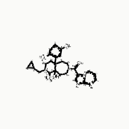 Cc1ccc(O)cc1C12CCN(C(=O)c3cnc4ncccn34)CCC1(O)C(C)N(CC1CC1)CC2